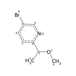 COC(C)c1ccc(Br)cn1